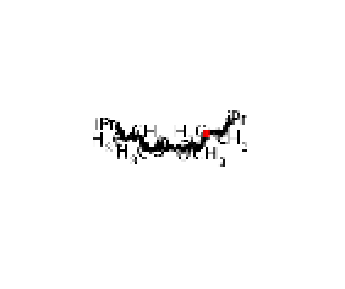 CC(=CCOC(=O)CCCCC(=O)OCC=C(C)CCC[C@H](C)CCC[C@H](C)CCCC(C)C)CCC[C@H](C)CCC[C@H](C)CCCC(C)C